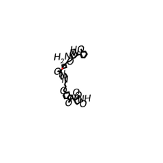 Nc1nnc(-c2ccccc2O)cc1OCC12CC(C(=O)N3CCN(CCCOc4ccc5c(c4)C(=O)N(C4CCC(=O)NC4=O)C5=O)CC3)(C1)C2